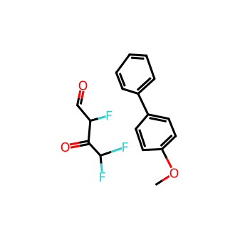 COc1ccc(-c2ccccc2)cc1.O=CC(F)C(=O)C(F)F